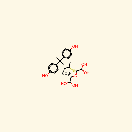 CC(C)(c1ccc(O)cc1)c1ccc(O)cc1.CC(S)CC(=O)O.OC(O)COCC(O)O